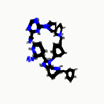 N#Cc1ncnc(N2CC[C@@]3(CCN(Cc4ccc(-n5c(-c6cccnc6N)nc6ccc(-c7ccccc7)nc65)cc4)C3)C2)n1